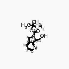 CC(C)(C)OC(=O)N1Cc2cccnc2C1CO